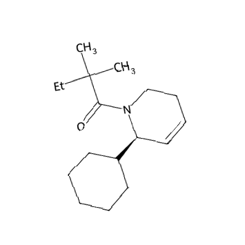 CCC(C)(C)C(=O)N1CCC=C[C@H]1C1CCCCC1